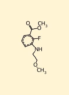 COCCNc1cccc(C(=O)OC)c1F